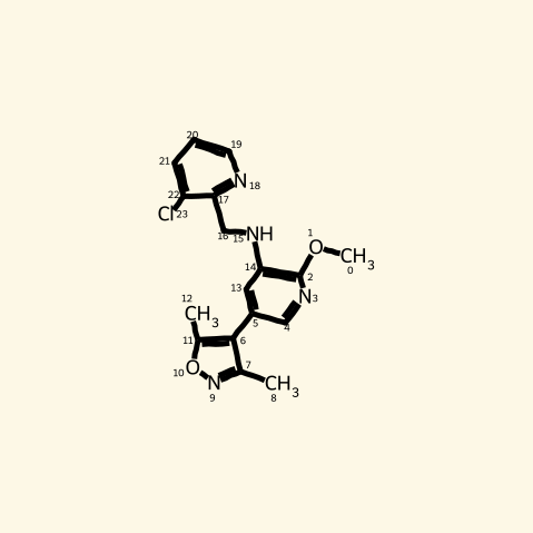 COc1ncc(-c2c(C)noc2C)cc1NCc1ncccc1Cl